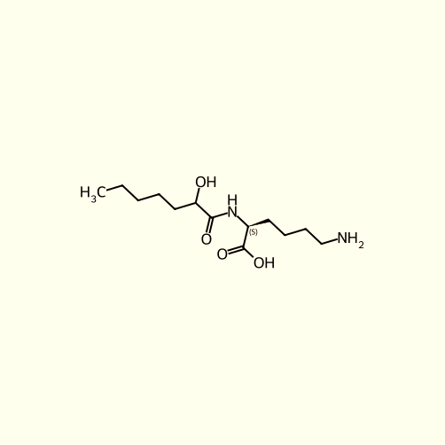 CCCCCC(O)C(=O)N[C@@H](CCCCN)C(=O)O